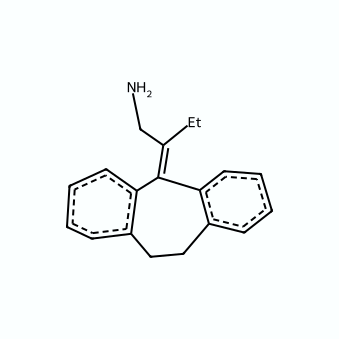 CCC(CN)=C1c2ccccc2CCc2ccccc21